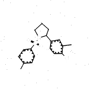 Cc1ccc(S(=O)(=O)N2CCCC2c2ccc(Cl)c(C)c2)cc1